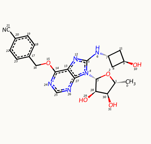 C[C@H]1O[C@@H](n2c(N[C@H]3C[C@H](O)C3)nc3c(OCc4ccc(C#N)cc4)ncnc32)[C@H](O)[C@@H]1O